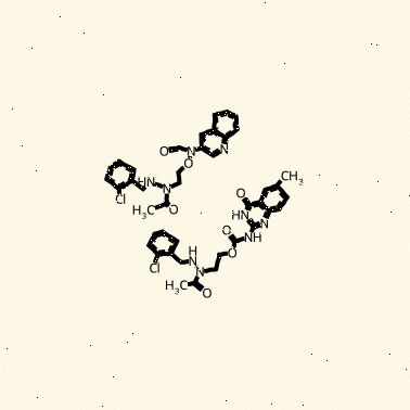 CC(=O)N(CCOC(=O)Nc1nc2ccc(C)cc2c(=O)[nH]1)NCc1ccccc1Cl.CC(=O)N(CCON(C=O)c1cnc2ccccc2c1)NCc1ccccc1Cl